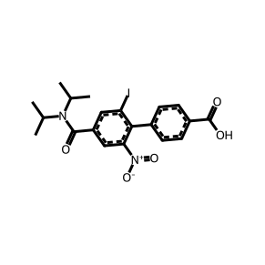 CC(C)N(C(=O)c1cc(I)c(-c2ccc(C(=O)O)cc2)c([N+](=O)[O-])c1)C(C)C